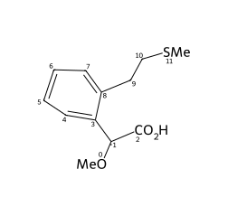 CO[C](C(=O)O)c1ccccc1CCSC